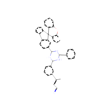 C/C(=C\C=N)c1cccc(C2NC(c3ccccc3)NC(c3ccc4c(c3)C3(c5ccccc5Oc5ccccc53)c3ccccc3-4)N2)c1